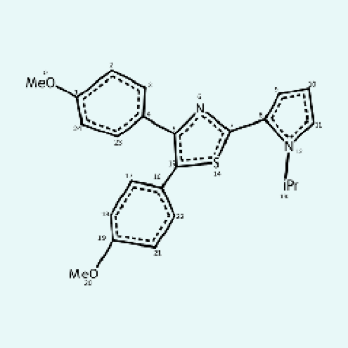 COc1ccc(-c2nc(-c3cccn3C(C)C)sc2-c2ccc(OC)cc2)cc1